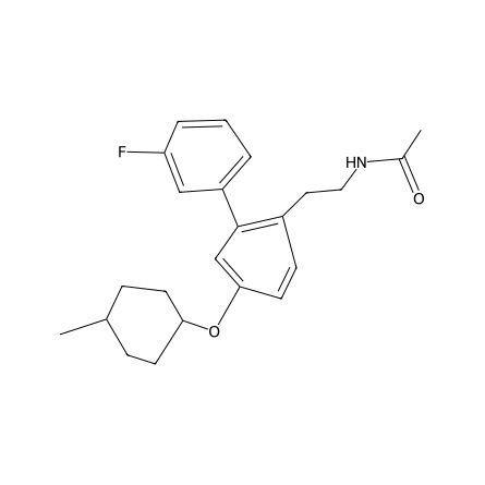 CC(=O)NCCc1ccc(OC2CCC(C)CC2)cc1-c1cccc(F)c1